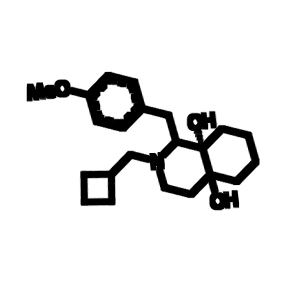 COc1ccc(CC2N(CC3CCC3)CCC3(O)CCCC[C@]23O)cc1